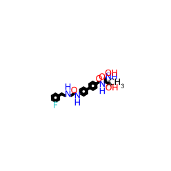 C[C@@H](O)[C@H](NC(=O)c1ccc(-c2ccc(NC(=O)CNCCc3cccc(F)c3)cc2)cc1)C(=O)NO